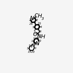 Cc1cc(-c2ccc(CC(=O)Nc3ccc(N4CCCCC4)nc3)cc2)ccn1